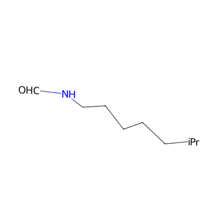 CC(C)CCCCCNC=O